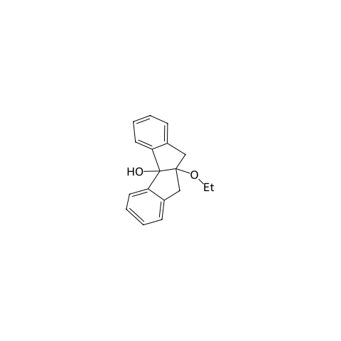 CCOC12Cc3ccccc3C1(O)c1ccccc1C2